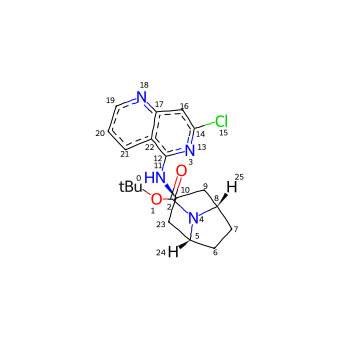 CC(C)(C)OC(=O)N1[C@@H]2CC[C@H]1C[C@H](Nc1nc(Cl)cc3ncccc13)C2